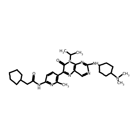 Cc1nc(NC(=O)CC2CCCCC2)ccc1-c1nc2cnc(NC3CCC(N(C)C)CC3)nc2n(C(C)C)c1=O